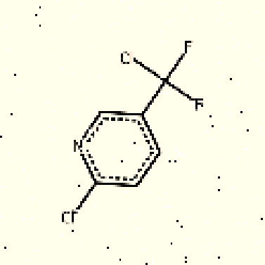 FC(F)(Cl)c1ccc(Cl)nc1